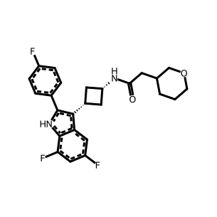 O=C(CC1CCCOC1)N[C@H]1C[C@@H](c2c(-c3ccc(F)cc3)[nH]c3c(F)cc(F)cc32)C1